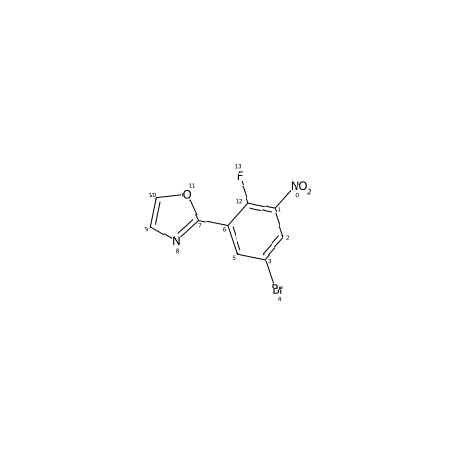 O=[N+]([O-])c1cc(Br)cc(-c2ncco2)c1F